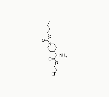 CCCCOC(=O)N1CCC(C(N)C(=O)OCCCl)CC1